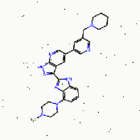 CN1CCN(c2cccc3[nH]c(-c4n[nH]c5ncc(-c6cncc(CN7CCCCC7)c6)cc45)nc23)CC1